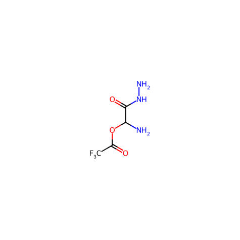 NNC(=O)C(N)OC(=O)C(F)(F)F